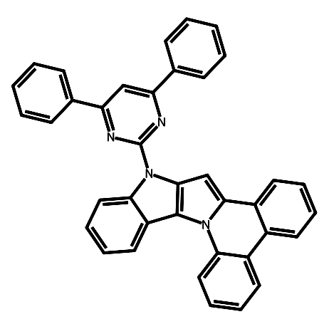 c1ccc(-c2cc(-c3ccccc3)nc(-n3c4ccccc4c4c3cc3c5ccccc5c5ccccc5n34)n2)cc1